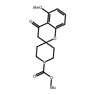 COc1cccc2c1C(=O)CC1(CCN(C(=O)OC(C)(C)C)CC1)O2